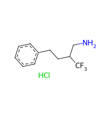 Cl.NCC(CCc1ccccc1)C(F)(F)F